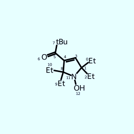 CCC1(CC)C=C(C(=O)C(C)(C)C)C(CC)(CC)N1O